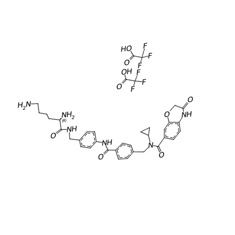 NCCCC[C@@H](N)C(=O)NCc1ccc(NC(=O)c2ccc(CN(C(=O)c3ccc4c(c3)OCC(=O)N4)C3CC3)cc2)cc1.O=C(O)C(F)(F)F.O=C(O)C(F)(F)F